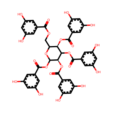 O=C(OCC1OC(OC(=O)c2cc(O)cc(O)c2)[C@H](OC(=O)c2cc(O)cc(O)c2)C(OC(=O)c2cc(O)cc(O)c2)[C@@H]1OC(=O)c1cc(O)cc(O)c1)c1cc(O)cc(O)c1